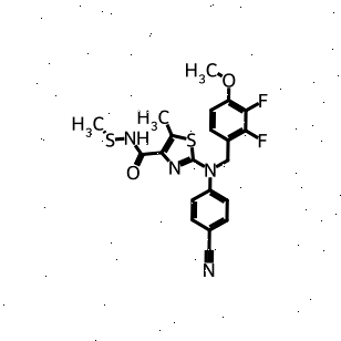 COc1ccc(CN(c2ccc(C#N)cc2)c2nc(C(=O)NSC)c(C)s2)c(F)c1F